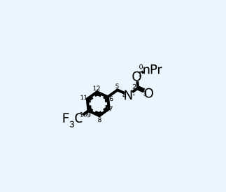 CCCOC(=O)[N]Cc1ccc(C(F)(F)F)cc1